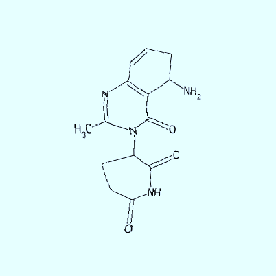 Cc1nc2c(c(=O)n1C1CCC(=O)NC1=O)C(N)CC=C2